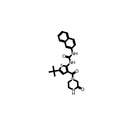 CC(C)(C)c1cc(C(=O)N2CCNC(=O)C2)c(NC(=O)Nc2ccc3ccccc3c2)s1